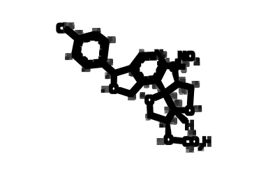 Cc1ncc2c(c1[C@]13OC[C@H](OC(=O)O)[C@H]1OC[C@@H]3O[N+](=O)[O-])COC2c1ccc(Cl)cc1